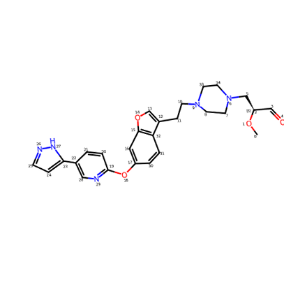 CO[C@H](C=O)CN1CCN(CCc2coc3cc(Oc4ccc(-c5ccn[nH]5)cn4)ccc23)CC1